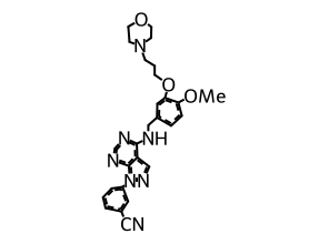 COc1ccc(CNc2ncnc3c2cnn3-c2cccc(C#N)c2)cc1OCCCN1CCOCC1